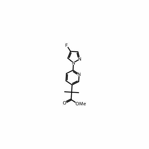 COC(=O)C(C)(C)c1ccc(-n2cc(F)cn2)nc1